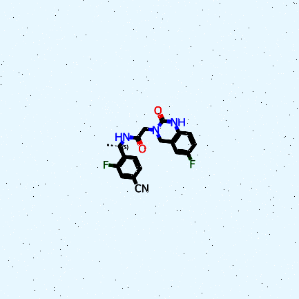 C[C@H](NC(=O)CN1Cc2cc(F)ccc2NC1=O)c1ccc(C#N)cc1F